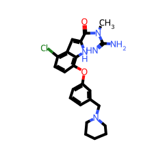 CN(C(=N)N)C(=O)c1cc2c(Cl)ccc(Oc3cccc(CN4CCCCC4)c3)c2[nH]1